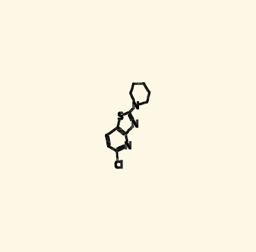 Clc1ccc2sc(N3CCCCC3)nc2n1